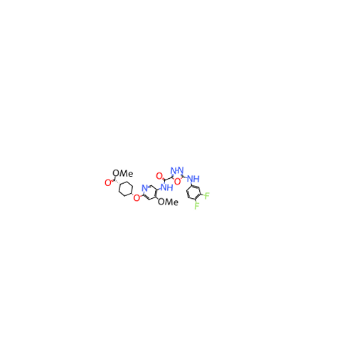 COc1cc(O[C@H]2CC[C@@H](C(=O)OC)CC2)ncc1NC(=O)c1nnc(Nc2ccc(F)c(F)c2)o1